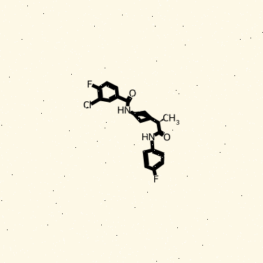 C[C@H](C(=O)Nc1ccc(F)cc1)C12CC(NC(=O)c3ccc(F)c(Cl)c3)(C1)C2